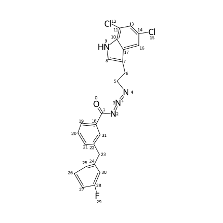 O=C(N=[N+]=NCCc1c[nH]c2c(Cl)cc(Cl)cc12)c1cccc(Cc2cccc(F)c2)c1